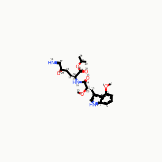 COc1cccc2[nH]cc(C[C@H](OC)C(=O)N[C@@H](CCC(=O)C=N)C(=O)OC(C)C)c12